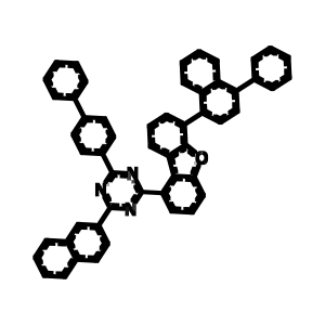 c1ccc(-c2ccc(-c3nc(-c4ccc5ccccc5c4)nc(-c4cccc5oc6c(-c7ccc(-c8ccccc8)c8ccccc78)cccc6c45)n3)cc2)cc1